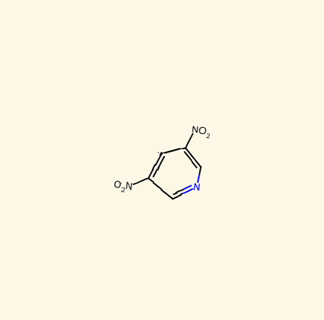 O=[N+]([O-])c1[c]c([N+](=O)[O-])cnc1